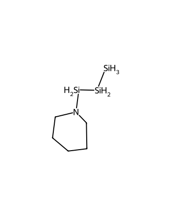 [SiH3][SiH2][SiH2]N1CCCCC1